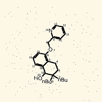 CCCCC1(CCCC)CCc2c(OCc3ccccn3)cccc2C1O